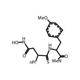 CCCC(CC(=O)NO)C(=S)NC(Cc1ccc(OC)cc1)C(=O)NC